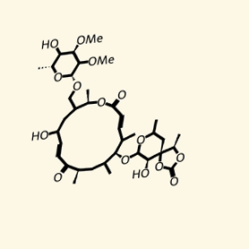 COC1[C@H](OCC2CC(O)/C=C/C(=O)[C@H](C)CC(C)[C@H](OC3OC(C)C[C@@]4(OC(=O)O[C@@H]4C)[C@H]3O)C(C)/C=C/C(=O)O[C@@H]2C)O[C@H](C)C(O)[C@H]1OC